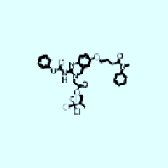 CC(COC(=O)CN1Cc2cc(OCCCC(=O)N(C)c3ccccc3)ccc2N=C1NC(=O)Oc1ccccc1)C(Cl)(Cl)Cl